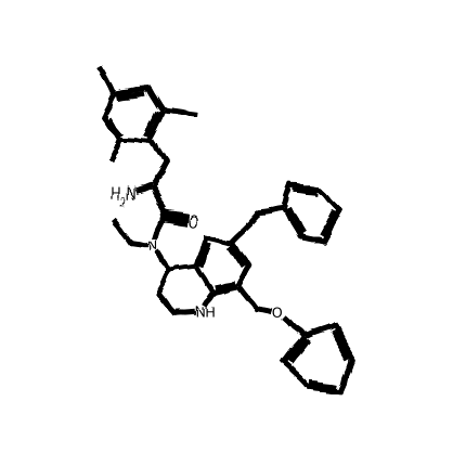 CCN(C(=O)C(N)Cc1c(C)cc(C)cc1C)C1CCNc2c(COc3ccccc3)cc(Cc3ccccc3)cc21